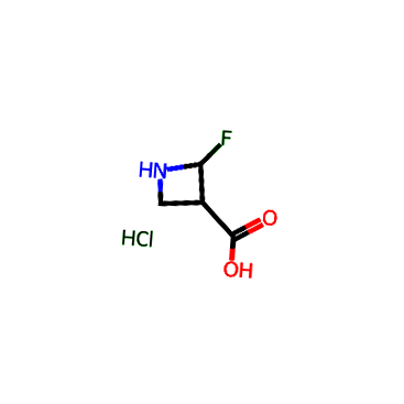 Cl.O=C(O)C1CNC1F